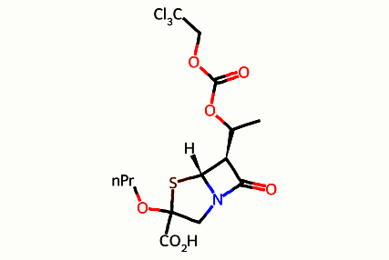 CCCOC1(C(=O)O)CN2C(=O)[C@H](C(C)OC(=O)OCC(Cl)(Cl)Cl)[C@H]2S1